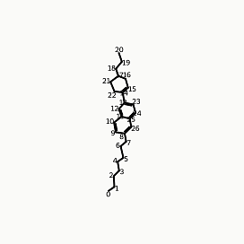 CCCCCCCCc1ccc2cc(C3=CCC(CCC)CC3)ccc2c1